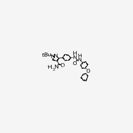 CC(C)(C)n1cc(C(N)=O)c(-c2ccc(NC(=O)Nc3ccc(Oc4ccccc4)cc3)cc2)n1